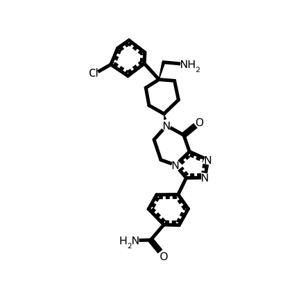 NC[C@]1(c2cccc(Cl)c2)CC[C@@H](N2CCn3c(nnc3-c3ccc(C(N)=O)cc3)C2=O)CC1